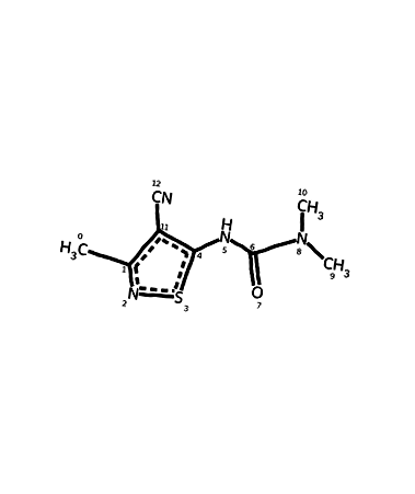 Cc1nsc(NC(=O)N(C)C)c1C#N